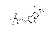 Cc1cc2cc(OCc3scnc3C)ccc2o1